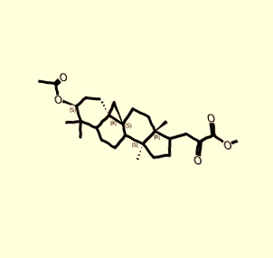 COC(=O)C(=O)CC1CC[C@@]2(C)C3CCC4C(C)(C)[C@@H](OC(C)=O)CC[C@@]45C[C@@]35CC[C@]12C